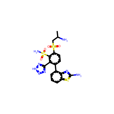 CC(N)CS(=O)(=O)c1ccc(-c2cccc3sc(N)nc23)c(-c2nn[nH]n2)c1S(N)(=O)=O